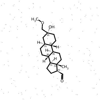 COC[C@@]1(O)CC[C@H]2[C@@H](CC[C@@H]3[C@@H]2CC[C@]2(C)[C@@H](C=O)CC[C@@H]32)C1